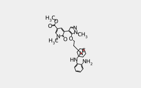 COC(=O)c1cc(-c2cnn(C)c2OCCN2CC3CCC(Nc4ccccc4N)(CC3)C2)c(=O)n(C)c1